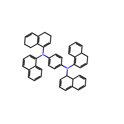 C1=CC2=CC=CC(N(C3=C4C=CC=CC4CC=C3)c3ccc(N(C4=CCCC5=C4CCC=C5)c4cccc5ccccc45)cc3)C2C=C1